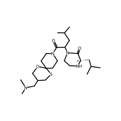 CC(C)CC(C(=O)N1CCC2(CC1)OCC(CN(C)C)CS2)N1CCN[C@@H](CC(C)C)C1=O